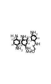 COCCNc1ccc(N)cc1.Cc1cc(N)ccc1N.Nc1ccc(N)cc1